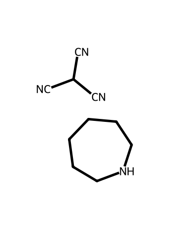 C1CCCNCC1.N#CC(C#N)C#N